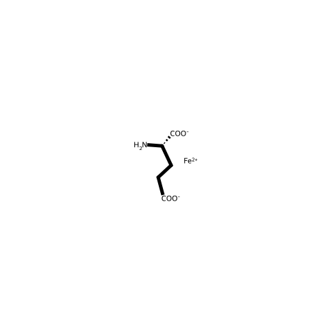 N[C@@H](CCC(=O)[O-])C(=O)[O-].[Fe+2]